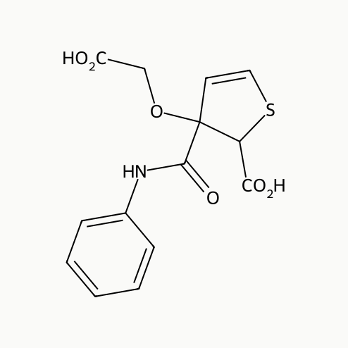 O=C(O)COC1(C(=O)Nc2ccccc2)C=CSC1C(=O)O